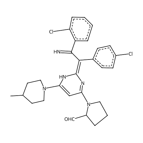 CC1CCN(C2=CC(N3CCCC3C=O)=N/C(=C(/C(=N)c3ccccc3Cl)c3ccc(Cl)cc3)N2)CC1